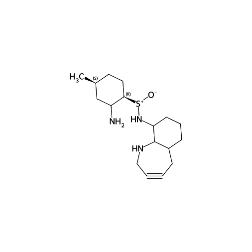 C[C@H]1CC[C@@H]([S+]([O-])NC2CCCC3CC#CCNC32)C(N)C1